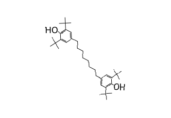 CC(C)(C)c1cc(CCCCCCCCc2cc(C(C)(C)C)c(O)c(C(C)(C)C)c2)cc(C(C)(C)C)c1O